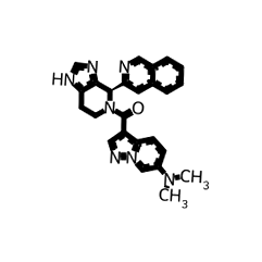 CN(C)c1ccc2c(C(=O)N3CCc4[nH]cnc4[C@H]3c3cc4ccccc4cn3)cnn2c1